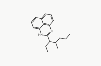 CCCC(C)C(CC)C1=Nc2cccc3cccc(c23)N1